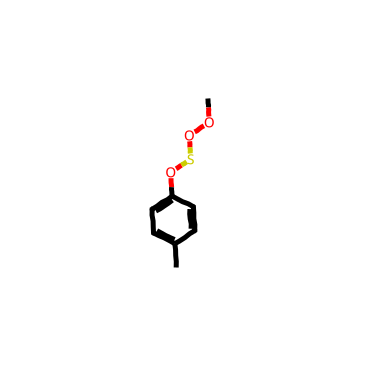 COOSOc1ccc(C)cc1